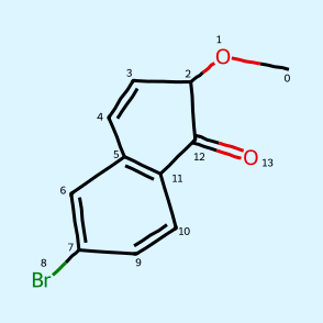 COC1C=Cc2cc(Br)ccc2C1=O